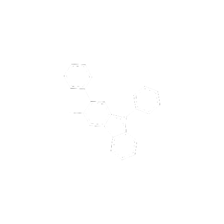 Cc1cc2c3ccccc3n(-c3ccccc3)c2cc1-c1ccccc1